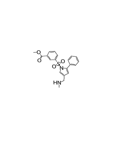 CNCc1cc(-c2ccccc2)n(S(=O)(=O)c2cccc(C(=O)OC)c2)c1